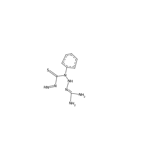 N=NC(=S)N(NN=C(N)N)c1ccccc1